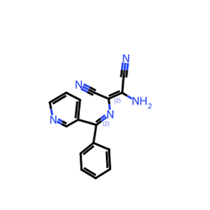 N#C/C(N)=C(C#N)/N=C(/c1ccccc1)c1cccnc1